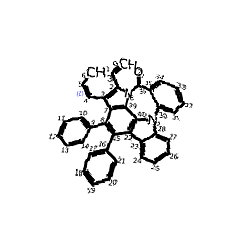 C=Cc1c(/C=C\C)c2c(-c3ccccc3)c(-c3ccccc3)c3c4ccccc4n4c5ccccc5c(=O)n1c2c34